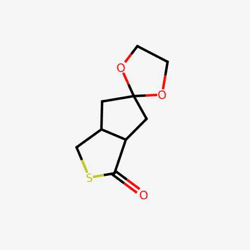 O=C1SCC2CC3(CC12)OCCO3